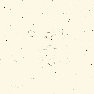 CC1(C)OB(c2ccc(OCc3ccccc3)c(C[C@H](NC(=O)OCc3ccccc3)C(=O)OCC[Si](C)(C)C)c2)OC1(C)C